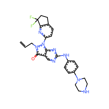 C=CCn1c(=O)c2cnc(Nc3ccc(N4CCNCC4)cc3)nc2n1-c1ccc2c(n1)C(F)(F)CC2